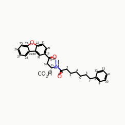 O=C(CCCCCCc1ccccc1)N[C@@H](CC(=O)c1ccc2oc3ccccc3c2c1)C(=O)O